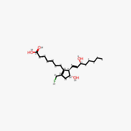 CCCCC[C@H](O)C=C[C@@H]1C(CCCCCCC(=O)O)=C(CF)C[C@H]1O